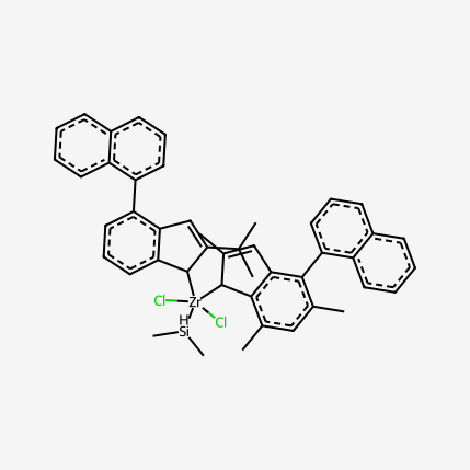 CC1=Cc2c(-c3cccc4ccccc34)c(C)cc(C)c2[CH]1[Zr]([Cl])([Cl])([CH]1C(C(C)C)=Cc2c(-c3cccc4ccccc34)cccc21)[SiH](C)C